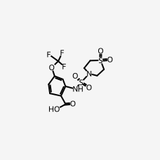 O=C(O)c1ccc(OC(F)(F)F)cc1NS(=O)(=O)N1CCS(=O)(=O)CC1